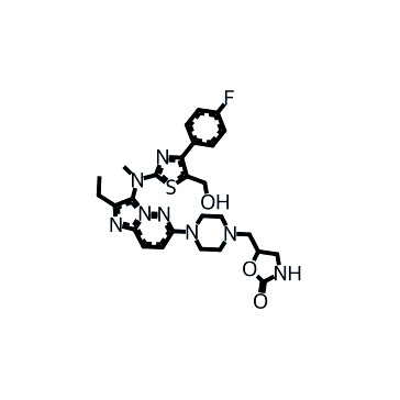 CCc1nc2ccc(N3CCN(CC4CNC(=O)O4)CC3)nn2c1N(C)c1nc(-c2ccc(F)cc2)c(CO)s1